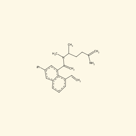 C=Cc1cccc2cc(C(C)C)cc(C(=C)N(C)C(C)CCC(=C)N)c12